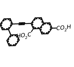 O=C(O)c1ccc2c(C(=O)O)c(C#Cc3ccccc3-c3ccccc3)ccc2c1